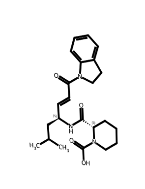 CC(C)C[C@@H](C=CC(=O)N1CCc2ccccc21)NC(=O)[C@@H]1CCCCN1C(=O)O